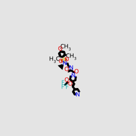 COc1cc(C)c(S(=O)(=O)N(Cc2nc(C(=O)N3CCC(C=Cc4ccncc4)(OC(=O)C(F)(F)F)CC3)co2)C2CC2)c(C)c1